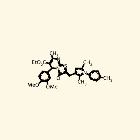 CCOC(=O)C1=C(C)N=c2s/c(=C\c3cc(C)n(-c4ccc(C)cc4)c3C)c(=O)n2C1c1ccc(OC)c(OC)c1